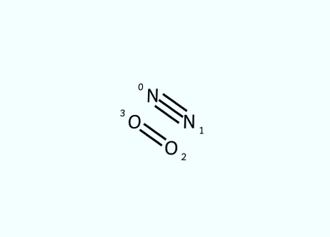 N#N.O=O